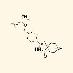 CC(C)OCC1CCC(C2=NC3(CCNCC3)C(=O)N2)CC1